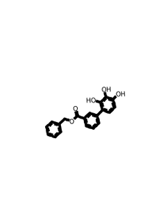 O=C(OCc1ccccc1)c1cccc(-c2ccc(O)c(O)c2O)c1